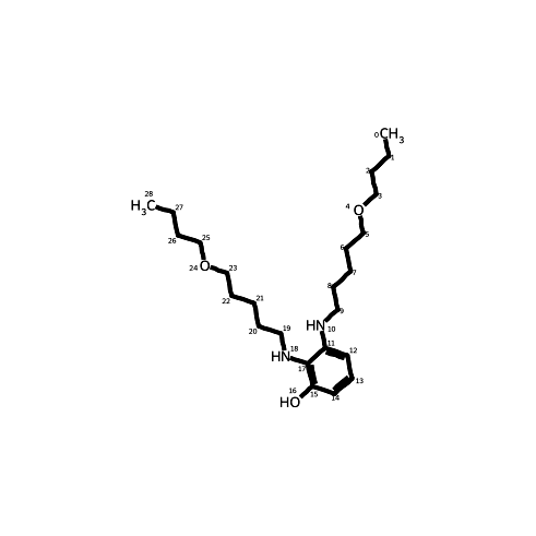 CCCCOCCCCCNc1cccc(O)c1NCCCCCOCCCC